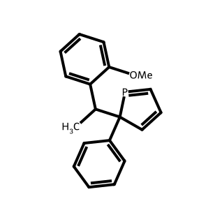 COc1ccccc1C(C)C1(c2ccccc2)C=CC=P1